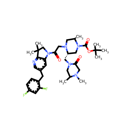 CC1CN(C[C@H]2CN(C(=O)OC(C)(C)C)[C@H](C)CN2CC(=O)N2CC(C)(C)c3ncc(Cc4ccc(F)cc4F)cc32)C(=O)CN1C